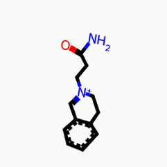 NC(=O)CC[N+]1=Cc2ccccc2CC1